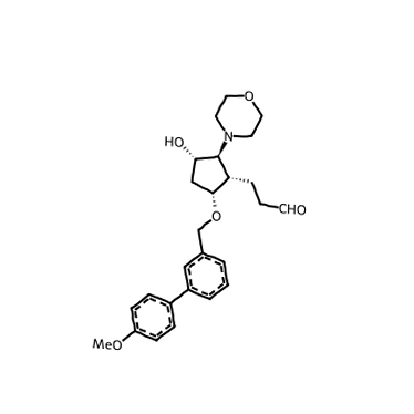 COc1ccc(-c2cccc(CO[C@@H]3C[C@H](O)[C@@H](N4CCOCC4)[C@@H]3CCC=O)c2)cc1